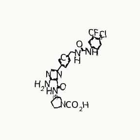 Nc1ncc(-c2ccc(CNC(=O)Nc3ccc(Cl)c(C(F)(F)F)c3)cc2)nc1C(=O)N[C@H]1CCCN(C(=O)O)C1